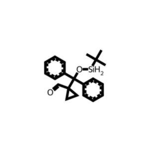 CC(C)(C)[SiH2]OC(c1ccccc1)(c1ccccc1)C1(C=O)CC1